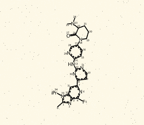 Cc1nc2c(F)nc(-c3ccnc(Nc4ccc(N5CCCC(N(C)C)C5=O)cn4)n3)cc2n1C(C)C